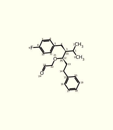 CC(C)[C@H](Cc1ccc(F)cc1)[C@@H](CCc1ccccc1)OCC=O